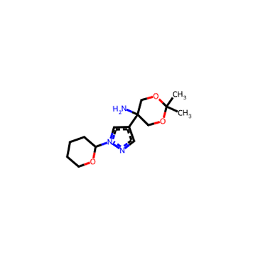 CC1(C)OCC(N)(c2cnn(C3CCCCO3)c2)CO1